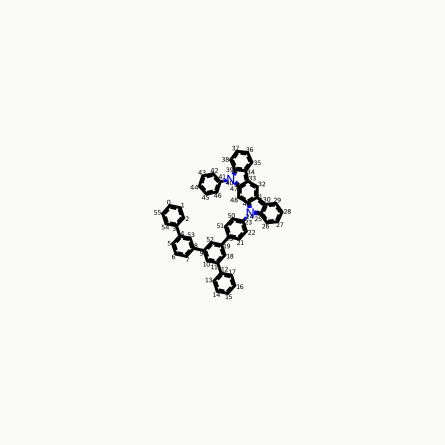 c1ccc(-c2cccc(-c3cc(-c4ccccc4)cc(-c4ccc(-n5c6ccccc6c6cc7c8ccccc8n(-c8ccccc8)c7cc65)cc4)c3)c2)cc1